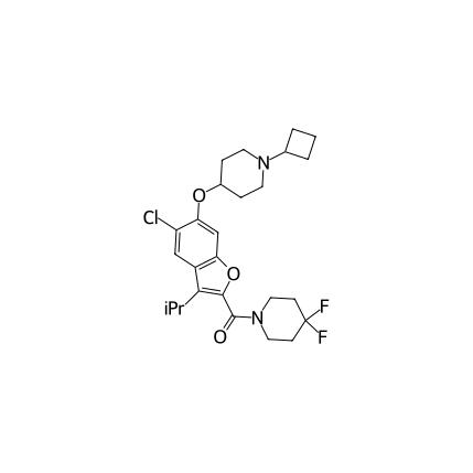 CC(C)c1c(C(=O)N2CCC(F)(F)CC2)oc2cc(OC3CCN(C4CCC4)CC3)c(Cl)cc12